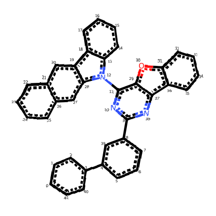 c1ccc(-c2cccc(-c3nc(-n4c5ccccc5c5cc6ccccc6cc54)c4oc5ccccc5c4n3)c2)cc1